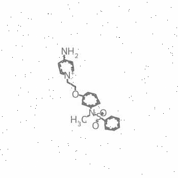 CN(c1cccc(OCC[n+]2ccc(N)cc2)c1)S(=O)(=O)c1ccccc1